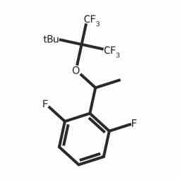 CC(OC(C(C)(C)C)(C(F)(F)F)C(F)(F)F)c1c(F)cccc1F